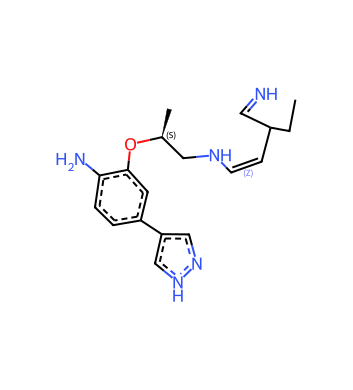 CCC(C=N)/C=C\NC[C@H](C)Oc1cc(-c2cn[nH]c2)ccc1N